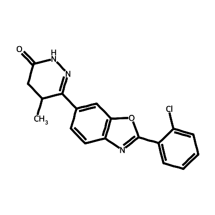 CC1CC(=O)NN=C1c1ccc2nc(-c3ccccc3Cl)oc2c1